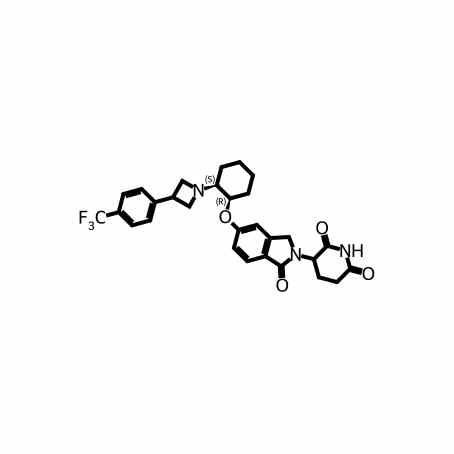 O=C1CCC(N2Cc3cc(O[C@@H]4CCCC[C@@H]4N4CC(c5ccc(C(F)(F)F)cc5)C4)ccc3C2=O)C(=O)N1